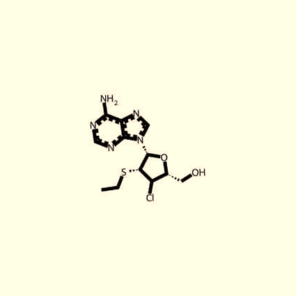 CCS[C@H]1C(Cl)[C@@H](CO)O[C@H]1n1cnc2c(N)ncnc21